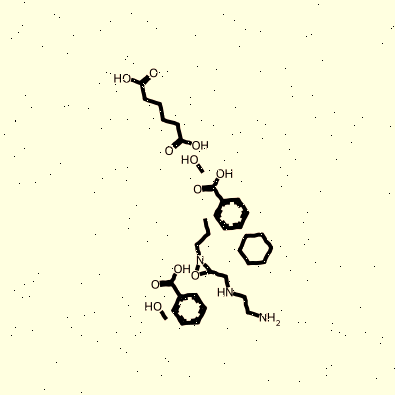 C1CCCCC1.CCCN1OC1CNCCN.CO.CO.O=C(O)CCCCC(=O)O.O=C(O)c1ccccc1.O=C(O)c1ccccc1